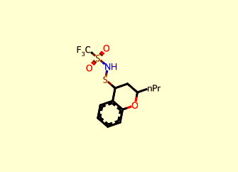 CCCC1CC(SNS(=O)(=O)C(F)(F)F)c2ccccc2O1